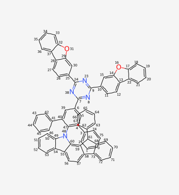 c1ccc(-c2cc(-c3nc(-c4ccc5c(c4)oc4ccccc45)nc(-c4ccc5c(c4)oc4ccccc45)n3)cc(-c3ccccc3)c2-n2c3ccccc3c3ccc4c(c32)C(c2ccccc2)c2ccccc2-4)cc1